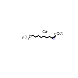 CCCCCCCC/C=C\CCCCCCCC(=O)O.[Cu]